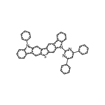 c1ccc(-c2cc(-c3ccccc3)nc(-n3c4ccccc4c4cc5c(cc43)sc3cc4c6ccccc6n(-c6ccccc6)c4cc35)n2)cc1